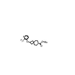 CC(C)(C)OC(=O)N1CCC2(CC1)CC(Oc1cccnc1C(F)(F)F)C2